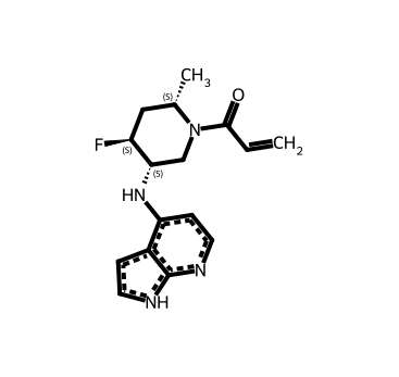 C=CC(=O)N1C[C@H](Nc2ccnc3[nH]ccc23)[C@@H](F)C[C@@H]1C